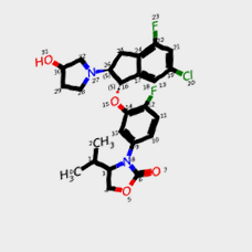 CC(C)C1COC(=O)N1c1ccc(F)c(O[C@H]2c3cc(Cl)cc(F)c3C[C@@H]2N2CCC(O)C2)c1